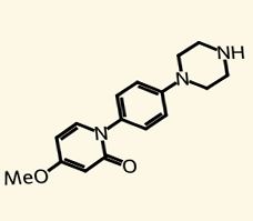 COc1ccn(-c2ccc(N3CCNCC3)cc2)c(=O)c1